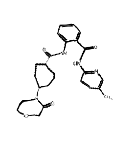 Cc1ccc(NC(=O)c2ccccc2NC(=O)[C@H]2CC[C@H](N3CCOCC3=O)CC2)nc1